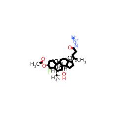 CC[C@H]1[C@@H](O)[C@@H]2[C@H](CC[C@]3(C)[C@@H](C(C)CCC(=O)N=[N+]=[N-])CC[C@@H]23)[C@@]2(C)CC[C@@H](OC(C)=O)[C@H](F)[C@@H]12